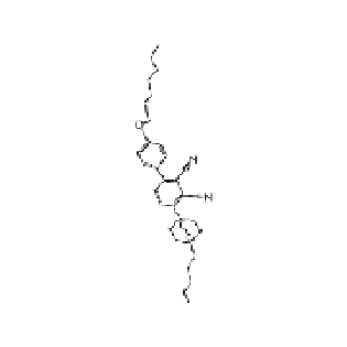 CCCCCCCOc1ccc(-c2ccc(C34CCC(CCCCC)(CC3)CC4)c(C#N)c2C#N)cc1